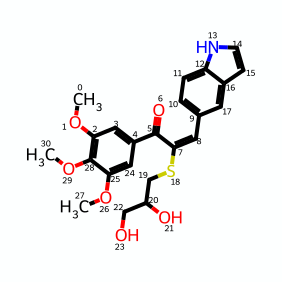 COc1cc(C(=O)/C(=C\c2ccc3[nH]ccc3c2)SCC(O)CO)cc(OC)c1OC